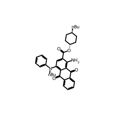 CCCCN(c1ccccc1)c1cc(C(=O)O[C@H]2CC[C@H](CCCC)CC2)c(N)c2c1C(=O)c1ccccc1C2=O